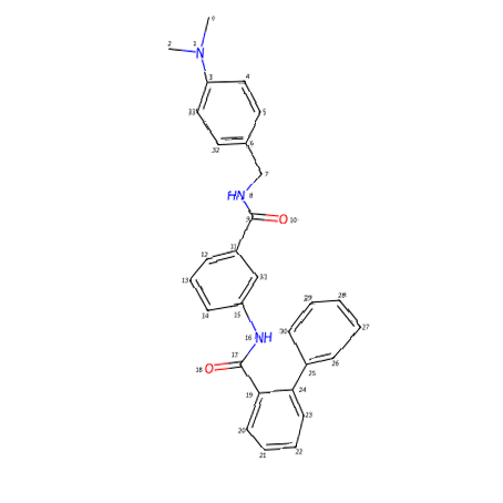 CN(C)c1ccc(CNC(=O)c2cccc(NC(=O)c3ccccc3-c3ccccc3)c2)cc1